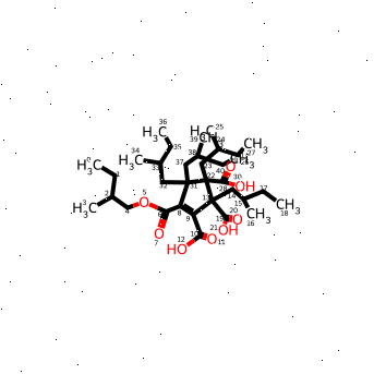 CCC(C)COC(=O)C1=C(C(=O)O)C(CC(C)CC)(C(=O)O)C(CC(C)CC)(C(=O)O)C1(CC(C)CC)CC(C)CC